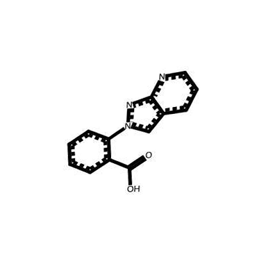 O=C(O)c1ccccc1-n1cc2cccnc2n1